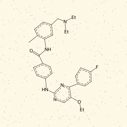 CCOc1cnc(Nc2ccc(C(=O)Nc3cc(CN(CC)CC)ccc3C)cc2)nc1-c1ccc(F)cc1